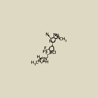 CN1C[C@@H]2C[C@H]1CN2CCCc1ccc(-c2cc3c(nnn3C)c(C#N)n2)cc1C(F)(F)F.Cl